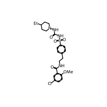 CCC1CCN(NC(=O)NS(=O)(=O)c2ccc(CCNC(=O)c3cc(Cl)ccc3OC)cc2)CC1